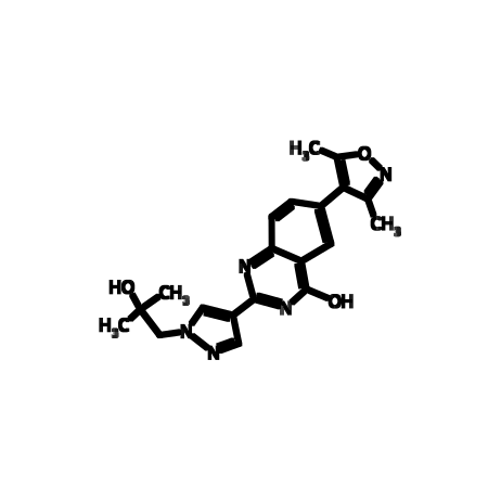 Cc1noc(C)c1-c1ccc2nc(-c3cnn(CC(C)(C)O)c3)nc(O)c2c1